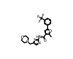 Cc1oc(-c2cccc(C(F)(F)F)c2)cc1C(=O)Nc1ncc(CN2CCOCC2)s1